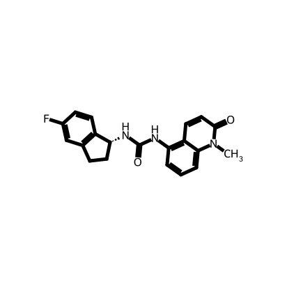 Cn1c(=O)ccc2c(NC(=O)N[C@@H]3CCc4cc(F)ccc43)cccc21